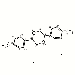 Cc1ccc(C2COC(c3ccc(C)cc3)CO2)cc1